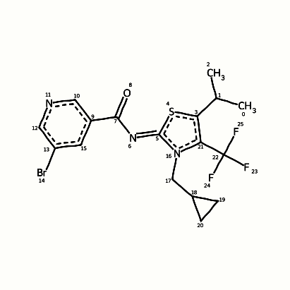 CC(C)c1s/c(=N\C(=O)c2cncc(Br)c2)n(CC2CC2)c1C(F)(F)F